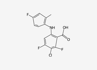 Cc1cc(F)ccc1Nc1cc(F)c(Cl)c(F)c1C(=O)O